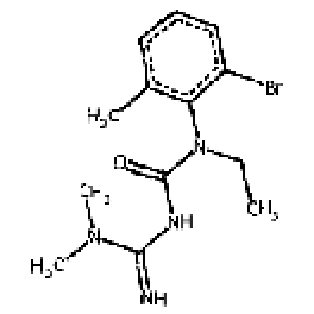 CCN(C(=O)NC(=N)N(C)C)c1c(C)cccc1Br